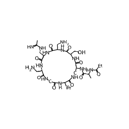 CCC(=O)NC(C)C(=O)NC1CNC(=O)C(C(C)C)NC(=O)CNC(=O)C(CN)NC(=O)C(CNC(C)=N)NC(=O)C(CN)NC(=O)C(CO)NC1=O